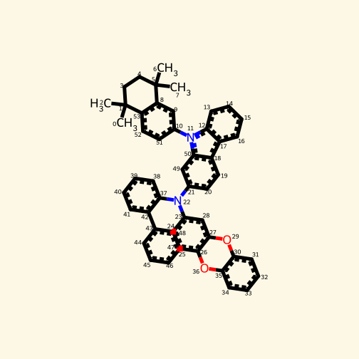 CC1(C)CCC(C)(C)c2cc(-n3c4ccccc4c4ccc(N(c5ccc6c(c5)Oc5ccccc5O6)c5ccccc5-c5ccccc5)cc43)ccc21